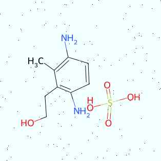 Cc1c(N)ccc(N)c1CCO.O=S(=O)(O)O